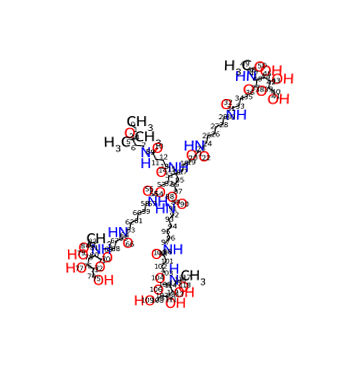 CCOC(C)(C)CCNC(=O)CCC(=O)NC(CCCOC(=O)NCCCCCCNC(=O)CCCOC1OC(CO)C(O)C(O)C1NC(C)=O)(CCCOC(=O)NCCCCCCNC(=O)CCCOC1OC(CO)C(O)C(O)C1NC(C)=O)CCCOC(=O)NCCCCCCNC(=O)CCCOC1OC(CO)C(O)C(O)C1NC(C)=O